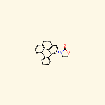 O=c1[nH]cco1.c1ccc2c(c1)c1cccc3ccc4cccc2c4c31